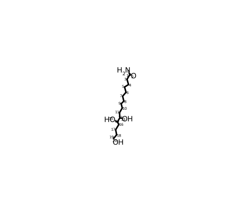 NC(=O)CCCCCCCCCC(O)C(O)CCCCO